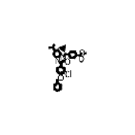 COC(=O)c1ccc([C@@H](C2CC2)N2C(=O)C(c3ccc(OCc4ccccc4)c(Cl)c3)=NC23CCC(C(C)C)CC3)cc1